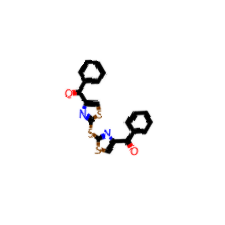 O=C(c1ccccc1)c1csc(Sc2nc(C(=O)c3ccccc3)cs2)n1